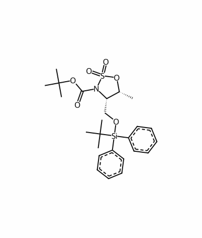 C[C@H]1OS(=O)(=O)N(C(=O)OC(C)(C)C)[C@H]1CO[Si](c1ccccc1)(c1ccccc1)C(C)(C)C